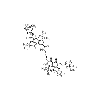 CC(C)(C)OC(=O)CCC(NC(=O)NC(CCCCNC(=O)c1ccc(CN(C(=N)NC(=O)OC(C)(C)C)C(=O)OC(C)(C)C)[c]([Sn]([CH3])([CH3])[CH3])c1)C(=O)OC(C)(C)C)C(=O)OC(C)(C)C